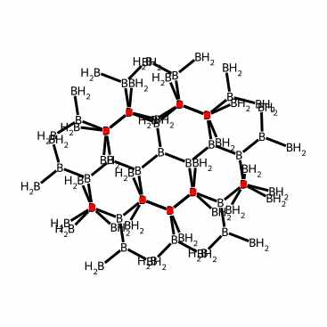 BB(B)B(B)B(B(B(B)B)B(B)B)B(B(B(B(B)B)B(B)B)B(B(B)B)B(B)B)B(B(B(B(B)B)B(B)B)B(B(B)B)B(B)B)B(B(B(B(B)B)B(B)B)B(B(B)B)B(B)B)B(B(B(B)B)B(B)B)B(B(B)B)B(B)B